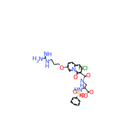 Cl.N=C(N)NCCCOc1ccc2ccc(C(=O)NC[C@H](NS(=O)(=O)c3ccccc3)C(=O)O)c(=O)n2c1